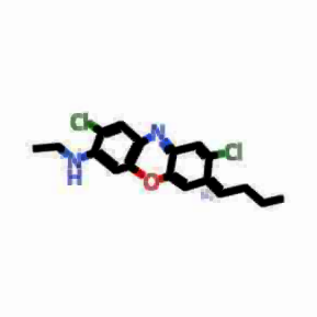 CCC/C=c1/cc2c(cc1Cl)=Nc1cc(Cl)c(NCC)cc1O2